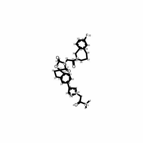 CN(C)C(=O)Cn1cc(-c2ccc3c(c2)CCC32OC(=O)N(CC(=O)N3CCCc4cc(F)ccc4C3)C2=O)cn1